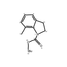 Cc1cccc2c1N(C(=O)OC(C)(C)C)CC2